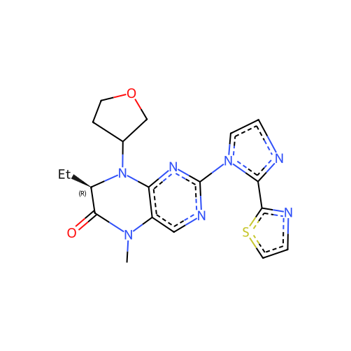 CC[C@@H]1C(=O)N(C)c2cnc(-n3ccnc3-c3nccs3)nc2N1C1CCOC1